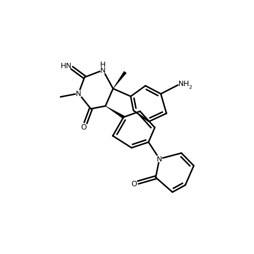 CN1C(=N)N[C@](C)(c2cccc(N)c2)[C@@H](c2ccc(-n3ccccc3=O)cc2)C1=O